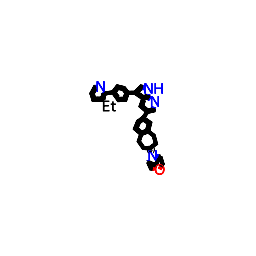 CCc1cccnc1-c1ccc(-c2c[nH]c3ncc(-c4ccc5c(c4)CC[C@@H](N4C6COCC4C6)CC5)cc23)cc1